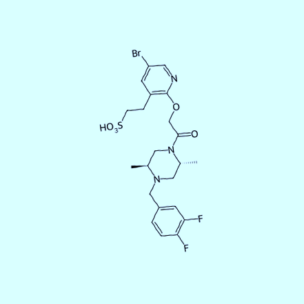 C[C@@H]1CN(Cc2ccc(F)c(F)c2)[C@@H](C)CN1C(=O)COc1ncc(Br)cc1CCS(=O)(=O)O